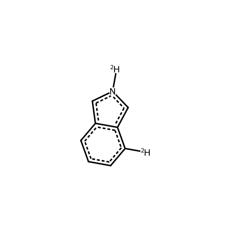 [2H]c1cccc2cn([2H])cc12